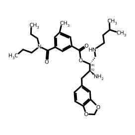 CCCN(CCC)C(=O)c1cc(C)cc(C(=O)O[C@H](CNCCC(C)C)[C@@H](N)Cc2ccc3c(c2)OCO3)c1